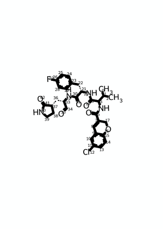 CC(C)C(NC(=O)C1=Cc2cc(Cl)ccc2OC1)C(=O)N[C@@H](Cc1ccc(F)cc1)C(=O)N[C@H](C=O)C[C@@H]1CCNC1=O